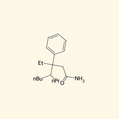 CCCCC(CCC)C(CC)(CC(N)=O)c1ccccc1